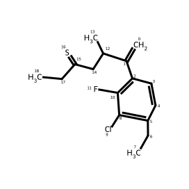 C=C(c1ccc(CC)c(Cl)c1F)C(C)CC(=S)CC